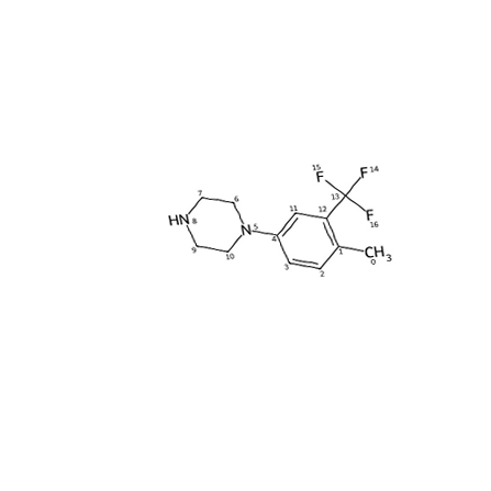 Cc1ccc(N2CCNCC2)cc1C(F)(F)F